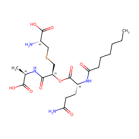 CCCCCCC(=O)N[C@H](CCC(N)=O)C(=O)O[C@H](CSC[C@H](N)C(=O)O)C(=O)N[C@H](C)C(=O)O